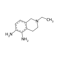 CCN1CCc2c(ccc(N)c2N)C1